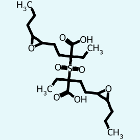 CCCC1OC1CCC(CC)(C(=O)O)S(=O)(=O)C(CC)(CCC1OC1CCC)C(=O)O